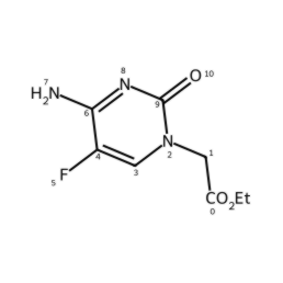 CCOC(=O)Cn1cc(F)c(N)nc1=O